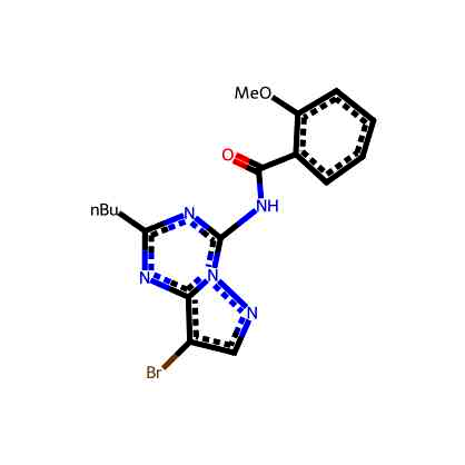 CCCCc1nc(NC(=O)c2ccccc2OC)n2ncc(Br)c2n1